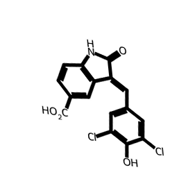 O=C1Nc2ccc(C(=O)O)cc2C1=Cc1cc(Cl)c(O)c(Cl)c1